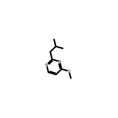 [CH2]Oc1ccnc(CC(C)C)n1